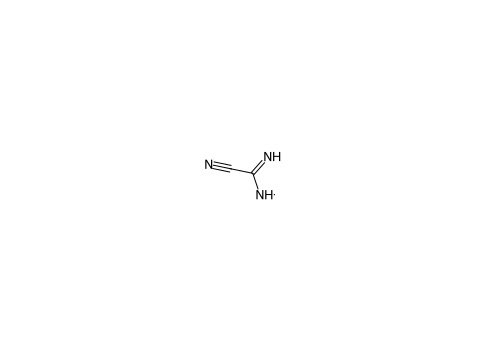 N#CC([NH])=N